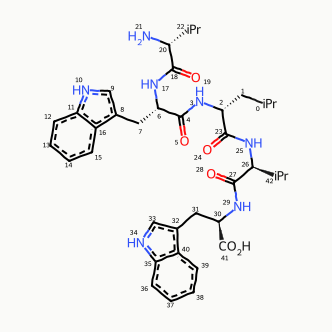 CC(C)C[C@@H](NC(=O)[C@H](Cc1c[nH]c2ccccc12)NC(=O)[C@H](N)C(C)C)C(=O)N[C@H](C(=O)N[C@H](Cc1c[nH]c2ccccc12)C(=O)O)C(C)C